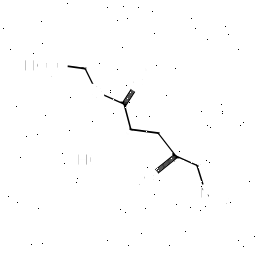 Cl.NCC(=O)CCC(=O)OCC(=O)O